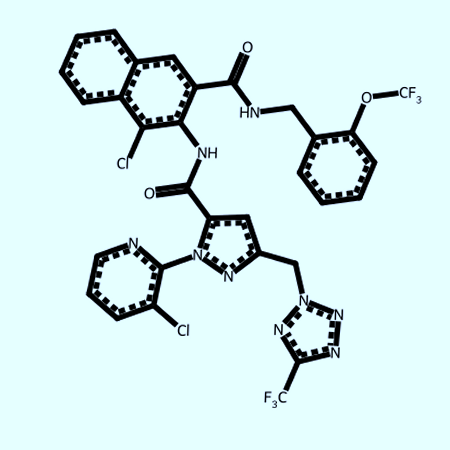 O=C(NCc1ccccc1OC(F)(F)F)c1cc2ccccc2c(Cl)c1NC(=O)c1cc(Cn2nnc(C(F)(F)F)n2)nn1-c1ncccc1Cl